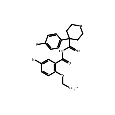 CCOC(=O)COc1ccc(Br)cc1C(=O)NC(=N)C1(c2ccc(F)cc2)CCNCC1